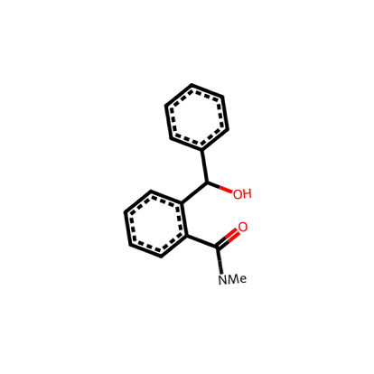 CNC(=O)c1ccccc1C(O)c1ccccc1